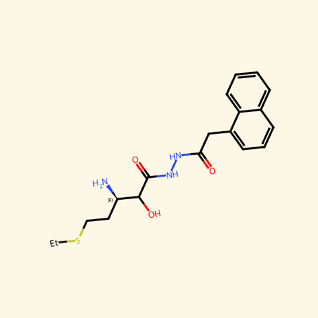 CCSCC[C@@H](N)C(O)C(=O)NNC(=O)Cc1cccc2ccccc12